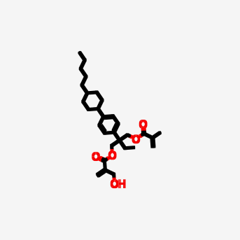 C=C(C)C(=O)OCC(CC)(COC(=O)C(=C)CO)c1ccc(C2CCC(CCCCC)CC2)cc1